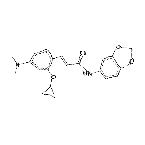 CN(C)c1ccc(C=CC(=O)Nc2ccc3c(c2)OCO3)c(OC2CC2)c1